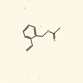 C=Cc1ccccc1COC(C)=S